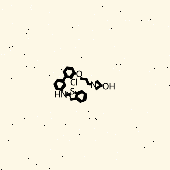 OC1CN(CCCOc2cccc(-c3cccc(NN4Cc5ccccc5S4)c3)c2Cl)C1